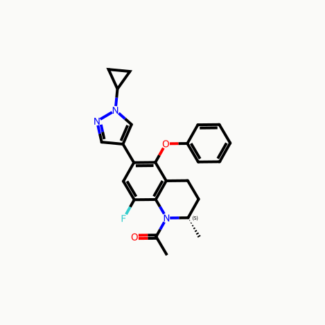 CC(=O)N1c2c(F)cc(-c3cnn(C4CC4)c3)c(Oc3ccccc3)c2CC[C@@H]1C